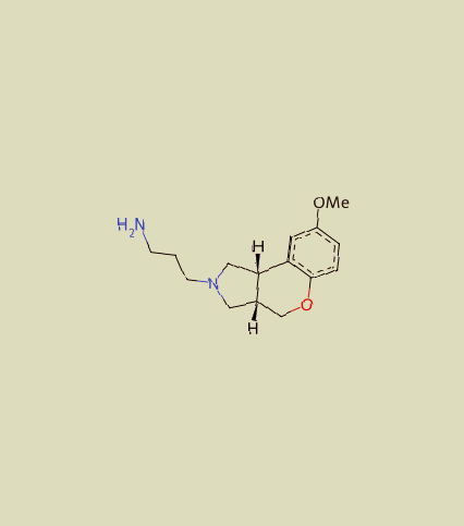 COc1ccc2c(c1)[C@H]1CN(CCCN)C[C@H]1CO2